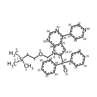 C[Si](C)(C)CCOCn1c(P(=O)(c2ccccc2)c2ccccc2)cc2c(-c3ccncc3)ncnc21